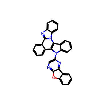 c1ccc2c(c1)nc1c3ccccc3c3c(c4ccccc4n3-c3cnc4oc5ccccc5c4n3)n21